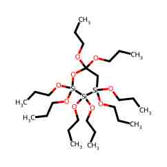 CCCOC1(OCCC)C[Si](OCCC)(OCCC)[Si](OCCC)(OCCC)[Si](OCCC)(OCCC)O1